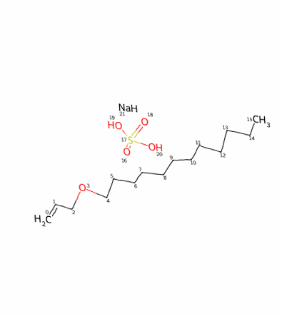 C=CCOCCCCCCCCCCCC.O=S(=O)(O)O.[NaH]